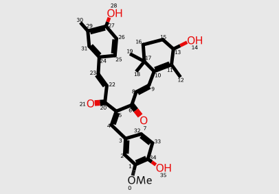 COc1cc(/C=C(\C(=O)/C=C/C2=C(C)C(O)CCC2(C)C)C(=O)/C=C/c2ccc(O)c(C)c2)ccc1O